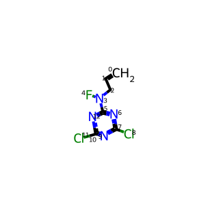 C=CCN(F)c1nc(Cl)nc(Cl)n1